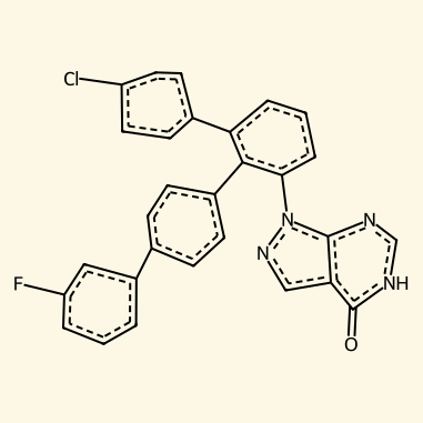 O=c1[nH]cnc2c1cnn2-c1cccc(-c2ccc(Cl)cc2)c1-c1ccc(-c2cccc(F)c2)cc1